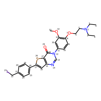 CCN(CC)CCOc1ccc(-n2cnc3cc(-c4ccc(CI)cc4)sc3c2=O)cc1OC